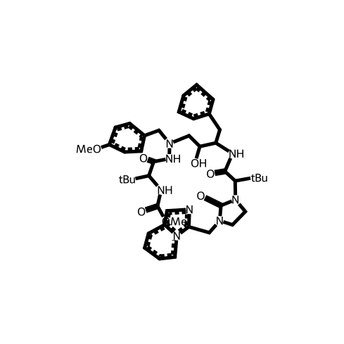 COC(=O)NC(C(=O)NN(Cc1ccc(OC)cc1)CC(O)C(Cc1ccccc1)NC(=O)C(N1CCN(Cc2ncc3ccccn23)C1=O)C(C)(C)C)C(C)(C)C